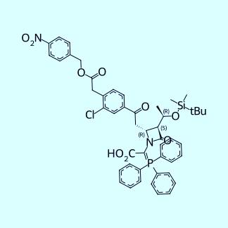 C[C@@H](O[Si](C)(C)C(C)(C)C)[C@H]1C(=O)N(C(C(=O)O)=P(c2ccccc2)(c2ccccc2)c2ccccc2)[C@@H]1CC(=O)c1ccc(CC(=O)OCc2ccc([N+](=O)[O-])cc2)c(Cl)c1